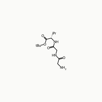 CC(C)[C@H](NC(=O)CNC(=O)CN)C(=O)OC(C)(C)C